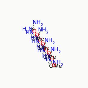 COc1ccc(NC(=O)[C@H](CCCCN)NC(=O)c2cc(NC(=O)[C@H](CCCCN)NC(=O)c3cc(NC(=O)[C@H](CCCCCN)NC(=O)c4cc(NC(=O)[C@@H](N)CCCCN)ccc4OC)ccc3SC)ccc2OC)cc1C(N)=O